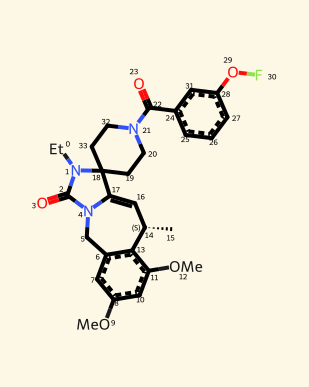 CCN1C(=O)N2Cc3cc(OC)cc(OC)c3[C@@H](C)C=C2C12CCN(C(=O)c1cccc(OF)c1)CC2